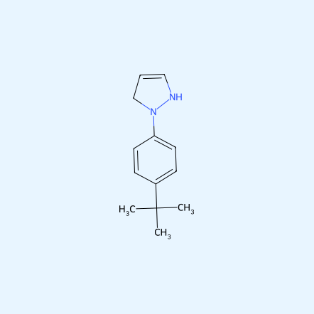 CC(C)(C)c1ccc(N2CC=CN2)cc1